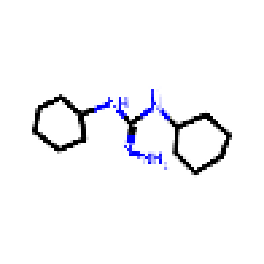 NN=C(NC1CCCCC1)NC1CCCCC1